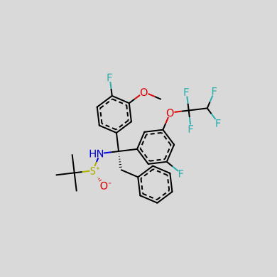 COc1cc([C@](Cc2ccccc2)(N[S@+]([O-])C(C)(C)C)c2cc(F)cc(OC(F)(F)C(F)F)c2)ccc1F